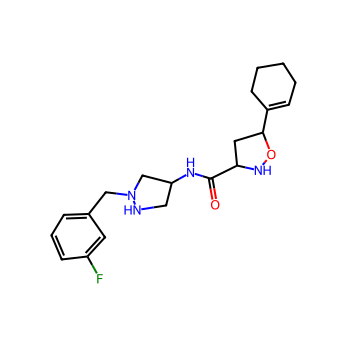 O=C(NC1CNN(Cc2cccc(F)c2)C1)C1CC(C2=CCCCC2)ON1